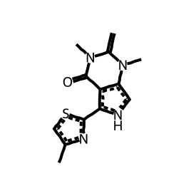 C=C1N(C)C(=O)c2c(c[nH]c2-c2nc(C)cs2)N1C